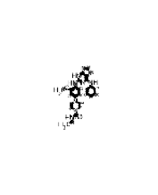 CCNC(=O)N1CCN(c2ccc(Nc3nc(NC4CCCCC4)c4ncnc-4[nH]3)c(OC)c2)CC1